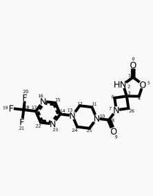 O=C1NC2(CO1)CN(C(=O)N1CCN(c3cnc(C(F)(F)F)cn3)CC1)C2